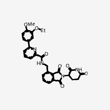 CCOc1cc(-c2cccc(C(=O)NCc3cccc4c3C(=O)N(C3CCC(=O)NC3=O)C4=O)n2)ccc1OC